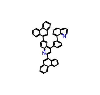 c1cc(-c2cc(-c3cc4ccccc4c4ccccc34)nc3ccc(-c4cc5ccccc5c5ccccc45)cc23)cc(-c2cccc3cccnc23)c1